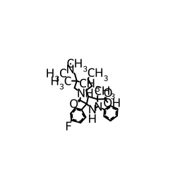 CCCCC1C(C(=O)NCC(C)(C)CN(C)C)(c2ccc(F)cc2)NN(c2ccccc2)C1(C)C(=O)O